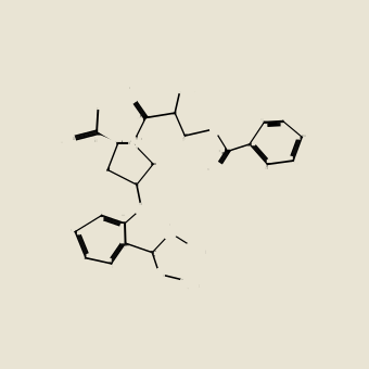 COC(OC)c1ccccc1OC1C[C@@H](C(=O)O)N(C(=O)C(C)CSC(=O)c2ccccc2)C1